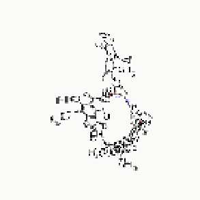 CO[C@H]1/C=C/O[C@@]2(C)Oc3c(C)c(O)c4c(c3C2=O)C(=O)C(CNC[C@@H]2CCN(c3c(F)cn5c(=O)c(C)cc(C6CC6)c5c3C)C2)=C(NC(=O)/C(C)=C\C=C\[C@H](C)[C@H](O)[C@@H](C)[C@@H](O)[C@@H](C)[C@H](OC(C)=O)[C@@H]1C)C4=O